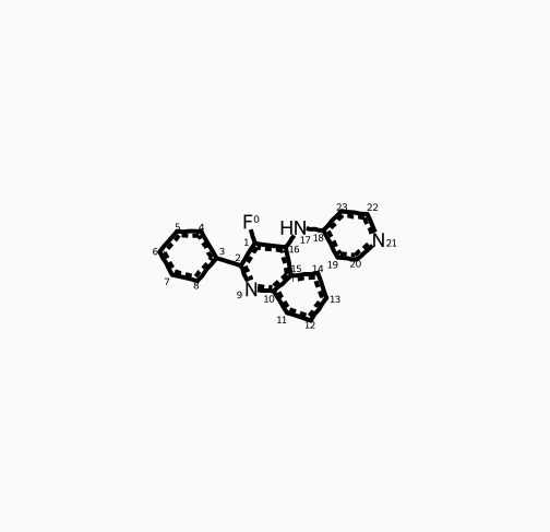 Fc1c(-c2ccccc2)nc2ccccc2c1Nc1ccncc1